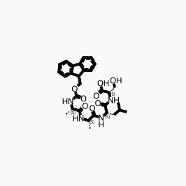 CC(C)C[C@H](NC(=O)[C@H](C)NC(=O)[C@H](C)NC(=O)OCC1c2ccccc2-c2ccccc21)C(=O)N[C@@H](CO)C(=O)O